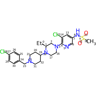 CC[C@H]1CN(c2ncc(NS(C)(=O)=O)cc2Cl)CCN1C1CCN(Cc2ccc(Cl)cc2)CC1